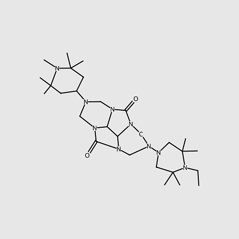 CCN1C(C)(C)CN(N2CN3C(=O)N4CN(C5CC(C)(C)N(C)C(C)(C)C5)CN5C(=O)N(C2)C3C45)CC1(C)C